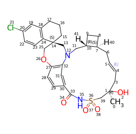 C[C@@]1(O)C/C=C/C[C@@H]2CC[C@H]2CN2C[C@@]3(CCCc4cc(Cl)ccc43)COc3ccc(cc32)C(=O)NS(=O)(=O)C1